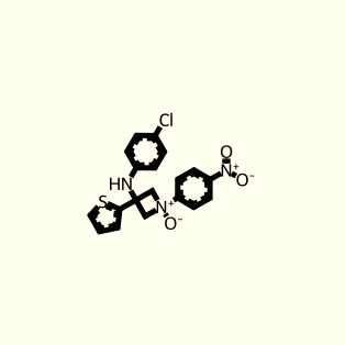 O=[N+]([O-])c1ccc([N+]2([O-])CC(Nc3ccc(Cl)cc3)(c3cccs3)C2)cc1